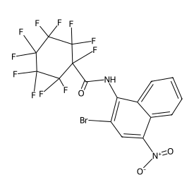 O=C(Nc1c(Br)cc([N+](=O)[O-])c2ccccc12)C1(F)C(F)(F)C(F)(F)C(F)(F)C(F)(F)C1(F)F